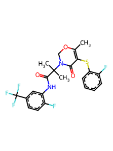 CC1=C(Sc2ccccc2F)C(=O)N(C(C)(C)C(=O)Nc2cc(C(F)(F)F)ccc2F)CO1